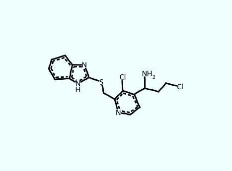 NC(CCCl)c1ccnc(CSc2nc3ccccc3[nH]2)c1Cl